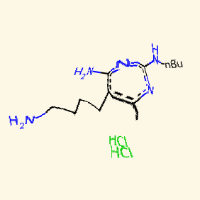 CCCCNc1nc(C)c(CCCCN)c(N)n1.Cl.Cl